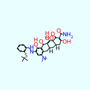 CN(C)c1cc(NCc2ccccc2SC(C)(C)C)c(O)c2c1C[C@H]1C[C@H]3CC(O)=C(C(N)=O)C(=O)[C@@]3(O)C(O)=C1C2=O